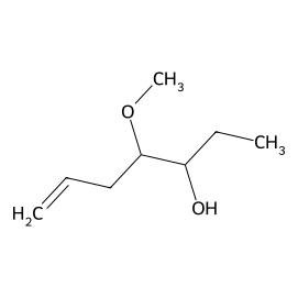 C=CCC(OC)C(O)CC